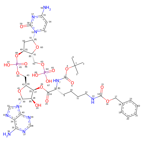 CC(C)(C)OC(=O)N[C@H](CCCCNC(=O)OCc1ccccc1)C(=O)O[C@H]1[C@@H](O)[C@H](n2cnc3c(N)ncnc32)O[C@H]1COP(=O)(O)O[C@H]1C[C@H](n2ccc(N)nc2=O)O[C@@H]1COP(=O)(O)O